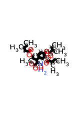 CCC(C)CC(=O)OCC(C)C(c1ccc(OC(=O)C(C)CC)c(OC(=O)C(C)CC)c1)[C@H](N)C(=O)O